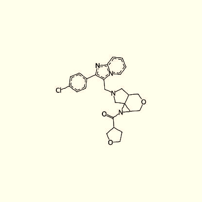 O=C(C1CCOC1)N1C2COCC3CN(Cc4c(-c5ccc(Cl)cc5)nc5ccccn45)CC321